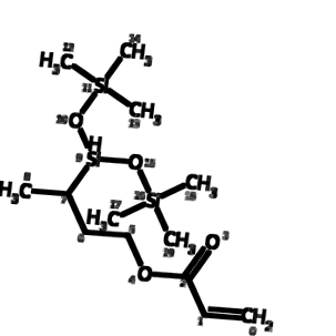 C=CC(=O)OCCC(C)[SiH](O[Si](C)(C)C)O[Si](C)(C)C